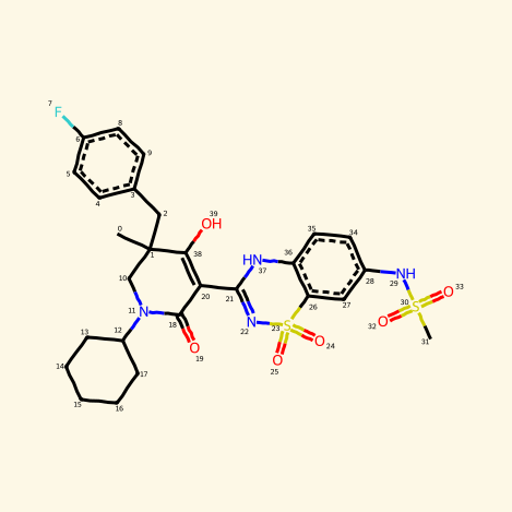 CC1(Cc2ccc(F)cc2)CN(C2CCCCC2)C(=O)C(C2=NS(=O)(=O)c3cc(NS(C)(=O)=O)ccc3N2)=C1O